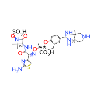 CC1(C)CNCC[C@@H]1NC(=N)c1ccc2c(c1)CC[C@H]([C@](C)(O/N=C(\C(=O)N[C@@H]1C(=O)N(OS(=O)(=O)O)C1(C)C)c1csc(N)n1)C(=O)O)O2